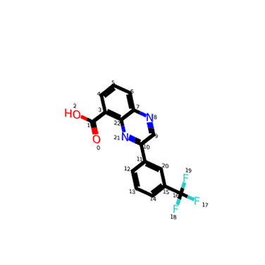 O=C(O)c1cccc2ncc(-c3cccc(C(F)(F)F)c3)nc12